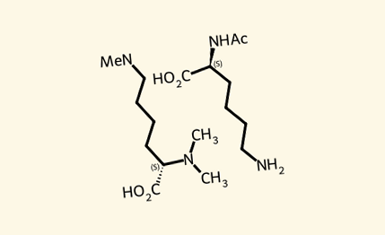 CC(=O)N[C@@H](CCCCN)C(=O)O.CNCCCC[C@@H](C(=O)O)N(C)C